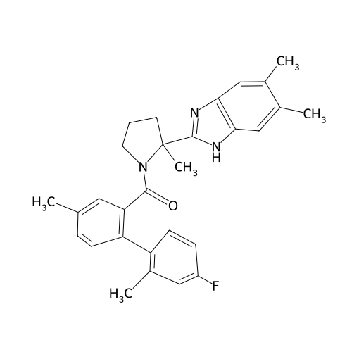 Cc1ccc(-c2ccc(F)cc2C)c(C(=O)N2CCCC2(C)c2nc3cc(C)c(C)cc3[nH]2)c1